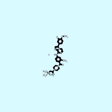 COc1ccc(-c2cnc3c(Nc4ccc(C(=O)N5CCN(C(=O)C[N+](C)(C)C)CC5)c(C)c4)nccn23)cc1F.[I-]